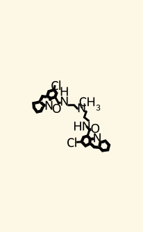 CN(CCCNC(=O)c1cc(Cl)cc2cc3ccccc3nc12)CCCNC(=O)c1cc(Cl)cc2cc3ccccc3nc12